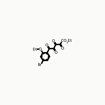 CCOC(=O)C(=O)C(=O)C(=O)C(=O)c1ccc(Br)cc1OCC